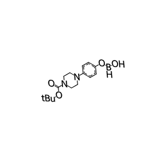 CC(C)(C)OC(=O)N1CCN(c2ccc(OBO)cc2)CC1